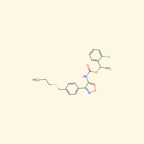 CC(OC(=O)Nc1conc1-c1ccc(CSCCC(=O)O)cc1)c1ccccc1Cl